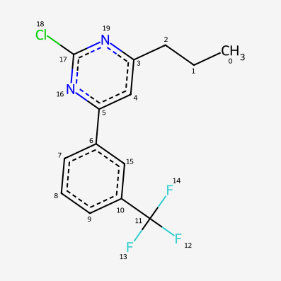 CCCc1cc(-c2cccc(C(F)(F)F)c2)nc(Cl)n1